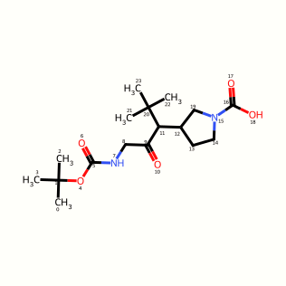 CC(C)(C)OC(=O)NCC(=O)C(C1CCN(C(=O)O)C1)C(C)(C)C